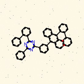 c1ccc(-c2nc(-c3cccc(-c4c5ccccc5c(-c5ccccc5-c5ccccc5)c5ccccc45)c3)nc(-c3ccccc3-c3ccccc3)n2)cc1